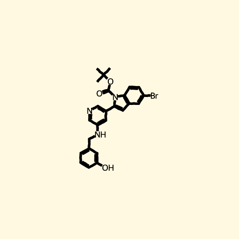 CC(C)(C)OC(=O)n1c(-c2cncc(NCc3cccc(O)c3)c2)cc2cc(Br)ccc21